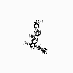 CC(C)c1cnc(N2C[C@H](n3ccnn3)[C@H]2C)c2cnc(Nc3ccnc(N4CCC(C)(O)CC4)n3)cc12